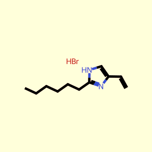 Br.C=Cc1c[nH]c(CCCCCC)n1